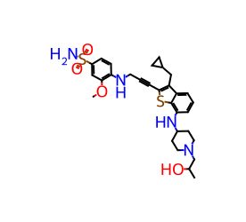 COc1cc(S(N)(=O)=O)ccc1NCC#Cc1sc2c(NC3CCN(CC(C)O)CC3)cccc2c1CC1CC1